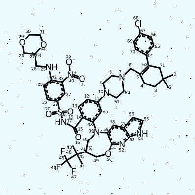 CC1(C)CCC(CN2CCN(c3ccc(C(=O)NS(=O)(=O)c4ccc(NC[C@H]5COCCO5)c([N+](=O)[O-])c4)c(N4C[C@H](C(C)(C)C(F)(F)F)COc5nc6[nH]ccc6cc54)c3)CC2)=C(c2ccc(Cl)cc2)C1